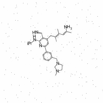 C/C(N)=C/C(C)=C(\C)Cc1cc(-c2cccc(CN3CCN(C)C3)c2)nc(NC(C)C)c1C=N